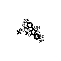 C=NC(CO)C(O)(c1ccc(S(C)(=O)=O)cc1)C1C(c2ccc(S(C)(=O)=O)cc2)OC(C)(C)N1OC(=O)OOC(C)(C)C